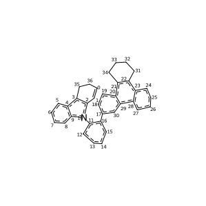 C1=Cc2c(c3ccccc3n2-c2ccccc2-c2ccc3c4c(c5ccccc5c3c2)CCCC4)CC1